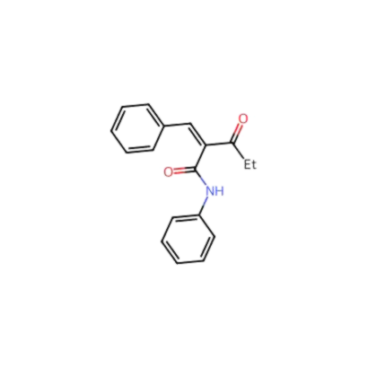 CCC(=O)C(=Cc1ccccc1)C(=O)Nc1ccccc1